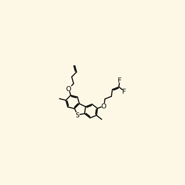 C=CCCOc1cc2c(cc1C)sc1cc(C)c(OCCC=C(F)F)cc12